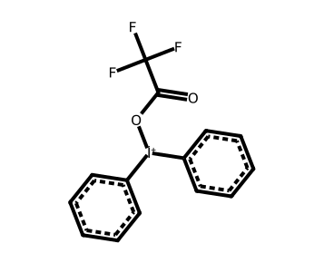 O=C(O[I+](c1ccccc1)c1ccccc1)C(F)(F)F